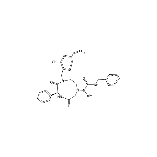 C=Cc1ccc(CN2CCN(N(CCC)C(=O)NCc3ccccc3)CC(=O)N[C@@H](c3ccccc3)C2=O)c(Cl)c1